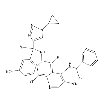 [2H]C(Nc1cc(Cl)c2ncc(C#N)c(NC(CC)c3ccccc3)c2c1F)(c1cccc(C#N)c1)c1cn(C2CC2)nn1